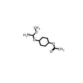 COC(N)OC1CCC(OC(C)=O)CC1